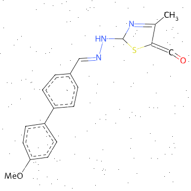 COc1ccc(-c2ccc(C=NNC3N=C(C)C(=C=O)S3)cc2)cc1